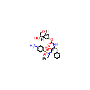 CC(C)CN(C[C@@H](O)[C@H](Cc1ccccc1)NC(=O)O[C@@H]1C[C@@H]2[C@@H](O)CO[C@@H]2C1)S(=O)(=O)c1ccc(N)cc1